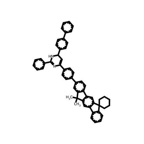 CC1(C)c2cc(-c3ccc(C4=CC(c5ccc(-c6ccccc6)cc5)NC(c5ccccc5)=N4)cc3)ccc2-c2cc3c(cc21)-c1ccccc1C31CCCCC1